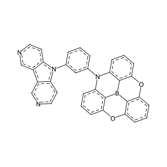 c1cc(N2c3cccc4c3B3c5c(cccc5Oc5cccc2c53)O4)cc(-n2c3ccncc3c3cnccc32)c1